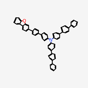 c1ccc(-c2ccc(-c3ccc(N(c4ccc(-c5ccc(-c6ccccc6)cc5)cc4)c4ccc(-c5ccc(-c6ccc7c(c6)oc6ccccc67)cc5)cc4)cc3)cc2)cc1